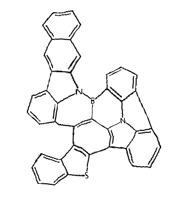 c1ccc2cc3c(cc2c1)c1cccc2c1n3B1c3cccc4c5cccc6c7c8sc9ccccc9c8c-2c1c7n(c34)c56